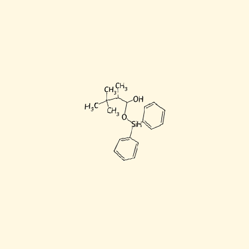 CC(C(O)O[SiH](c1ccccc1)c1ccccc1)C(C)(C)C